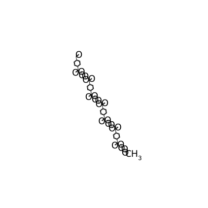 COOOOC(=O)c1ccc(C(=O)OOOOC(=O)c2ccc(C(=O)OOOOC(=O)c3ccc(C(=O)OOOOC(=O)c4ccc(C=O)cc4)cc3)cc2)cc1